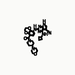 N#Cc1c[nH]c2nc(Nc3ccc(C(=O)N4CCC(N5CCOCC5)CC4)c4c3OCCO4)nc(NC3CCC3)c12